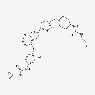 CCCNC(=O)NC1CCN(Cc2ccc(-c3cc4nccc(Oc5ccc(NC(=O)NC6CC6)cc5F)c4s3)nc2)CC1